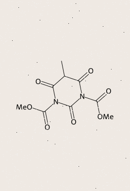 COC(=O)N1C(=O)C(C)C(=O)N(C(=O)OC)C1=O